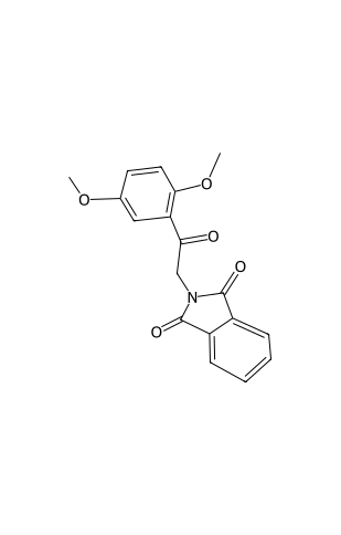 COc1ccc(OC)c(C(=O)CN2C(=O)c3ccccc3C2=O)c1